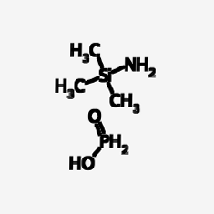 C[Si](C)(C)N.O=[PH2]O